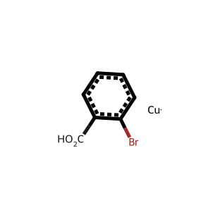 O=C(O)c1ccccc1Br.[Cu]